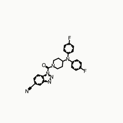 N#Cc1ccc2c(c1)nnn2C(=O)N1CCC(N(c2ccc(F)cc2)c2ccc(F)cc2)CC1